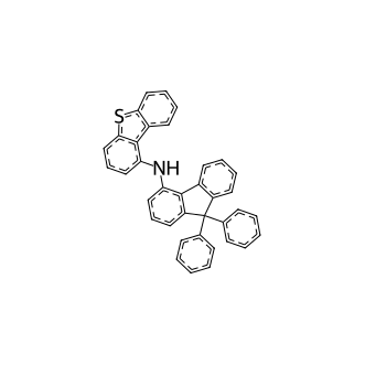 c1ccc(C2(c3ccccc3)c3ccccc3-c3c(Nc4cccc5sc6ccccc6c45)cccc32)cc1